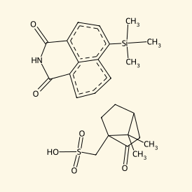 CC1(C)C2CCC1(CS(=O)(=O)O)C(=O)C2.C[Si](C)(C)c1ccc2c3c(cccc13)C(=O)NC2=O